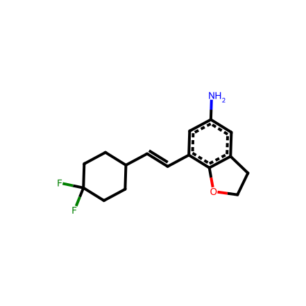 Nc1cc(C=CC2CCC(F)(F)CC2)c2c(c1)CCO2